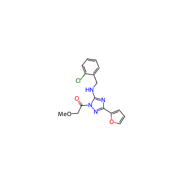 COCC(=O)n1nc(-c2ccco2)nc1NCc1ccccc1Cl